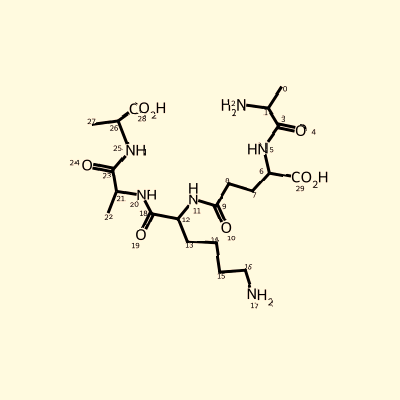 CC(N)C(=O)NC(CCC(=O)NC(CCCCN)C(=O)NC(C)C(=O)NC(C)C(=O)O)C(=O)O